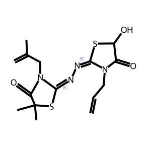 C=CCN1C(=O)C(O)S/C1=N/N=C1/SC(C)(C)C(=O)N1CC(=C)C